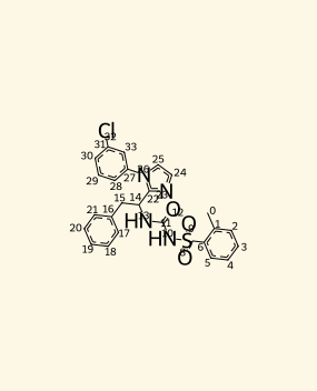 Cc1ccccc1S(=O)(=O)NC(=O)NC(Cc1ccccc1)c1nccn1-c1cccc(Cl)c1